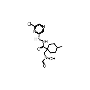 CC1CCC(CN(O)C=O)(C(=O)NNc2cncc(Cl)n2)CC1